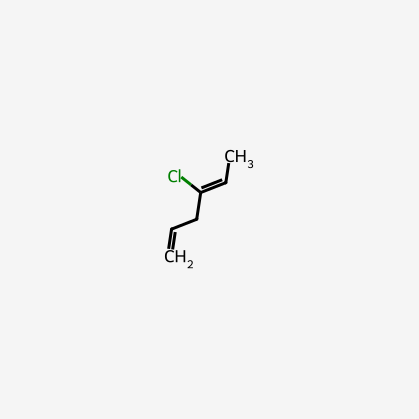 C=CCC(Cl)=CC